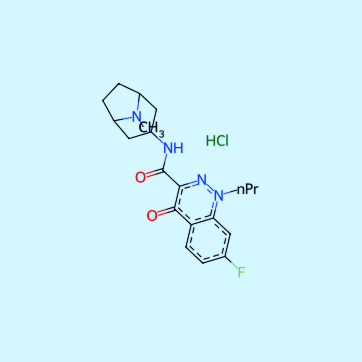 CCCn1nc(C(=O)NC2CC3CCC(C2)N3C)c(=O)c2ccc(F)cc21.Cl